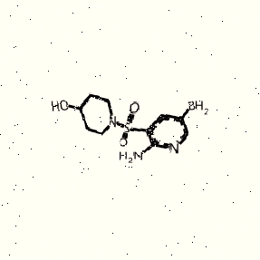 Bc1cnc(N)c(S(=O)(=O)N2CCC(O)CC2)c1